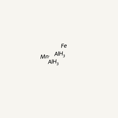 [AlH3].[AlH3].[Fe].[Mn]